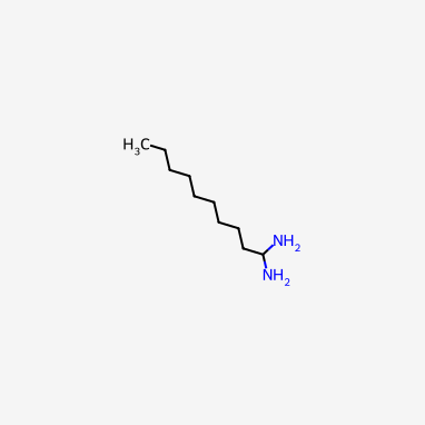 CCCCCCCCCC(N)N